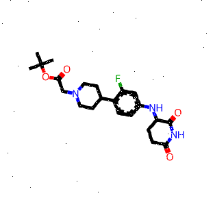 CC(C)(C)OC(=O)CN1CCC(c2ccc(NC3CCC(=O)NC3=O)cc2F)CC1